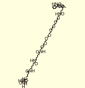 Cc1c[nH]c(/C=C2\C(=O)Nc3ccccc32)c1CCC(=O)NCCOCCOCCOCCOCCOCCOCCOCCOCCNC(=O)CCCCCNC(=O)CCCCCNC(=O)CCCC[C@@H]1SC[C@@H]2NC(=O)N[C@@H]21